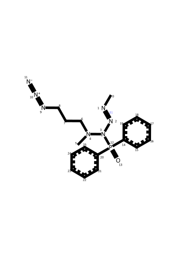 C/N=N/N(N(C)CCCN=[N+]=[N-])P(=O)(c1ccccc1)c1ccccc1